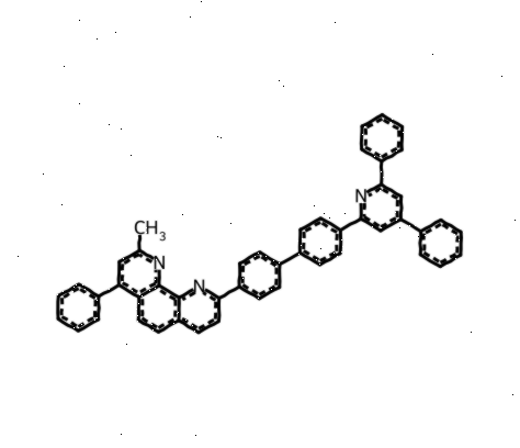 Cc1cc(-c2ccccc2)c2ccc3ccc(-c4ccc(-c5ccc(-c6cc(-c7ccccc7)cc(-c7ccccc7)n6)cc5)cc4)nc3c2n1